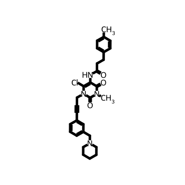 Cc1ccc(CCC(=O)Nc2c(Cl)n(CC#Cc3cccc(CN4CCCCC4)c3)c(=O)n(C)c2=O)cc1